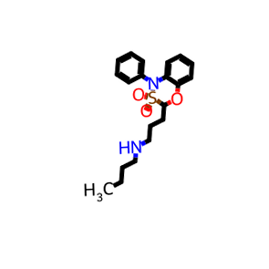 CCCCNCCCC1Oc2ccccc2N(c2ccccc2)S1(=O)=O